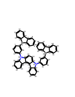 c1cc(B2c3ccccc3-c3ccccc32)cc(-n2c3ccccc3c3c4c5ccccc5n(-c5cccc(B6c7ccccc7-c7ccccc76)c5)c4ccc32)c1